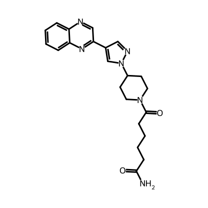 NC(=O)CCCCC(=O)N1CCC(n2cc(-c3cnc4ccccc4n3)cn2)CC1